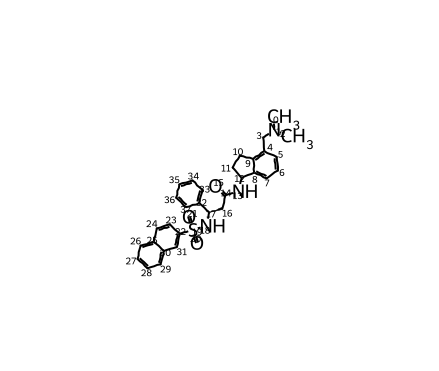 CN(C)Cc1cccc2c1CCC2NC(=O)C[C@@H](NS(=O)(=O)c1ccc2ccccc2c1)c1ccccc1